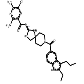 CCCc1c(CC)[nH]c2ccc(C(=O)N3CCC4(CC3)CN/C(=N\C(=O)c3nc(Cl)c(N)nc3N)N4)cc12